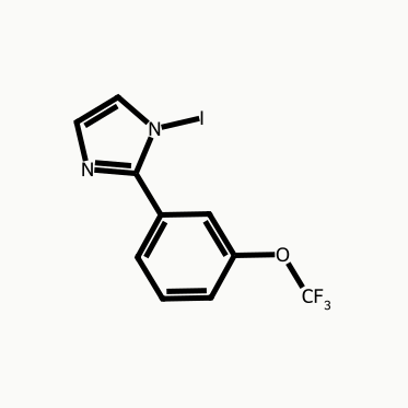 FC(F)(F)Oc1cccc(-c2nccn2I)c1